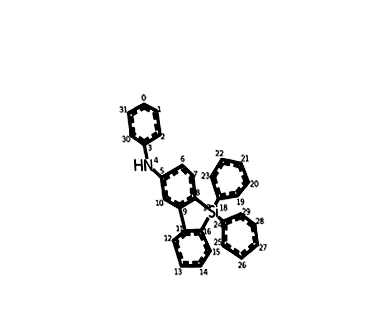 c1ccc(Nc2ccc3c(c2)-c2ccccc2[Si]3(c2ccccc2)c2ccccc2)cc1